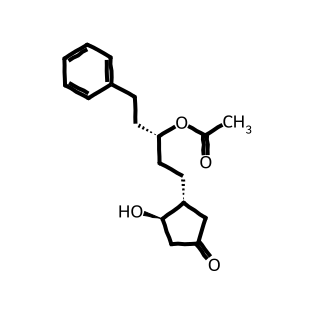 CC(=O)O[C@@H](CCc1ccccc1)CC[C@@H]1CC(=O)C[C@H]1O